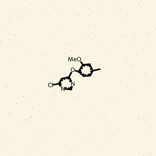 COc1cc(C)ccc1Oc1cc(Cl)ncn1